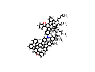 CCCCCCCC1(CCCCCCC)c2ccccc2-c2c1c1c(c3c2oc2ccccc23)-c2ccc(N(c3cc(C)cc(C)c3)c3ccc4c(c3)C3(c5ccccc5-c5ccccc53)c3cc5c(cc3-4)C3(c4ccccc4-c4ccccc43)c3ccc4oc6ccccc6c4c3-5)cc2C1(CCCCCCC)CCCCCCC